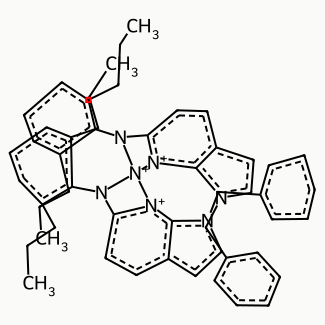 CCCc1cccc(CCC)c1N1c2ccc3ccn(Cc4ccccc4)c3[n+]2[N+]12N(c1c(CCC)cccc1CCC)c1ccc3ccn(Cc4ccccc4)c3[n+]12